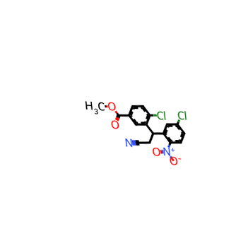 COC(=O)c1ccc(Cl)c(C(CC#N)c2cc(Cl)ccc2[N+](=O)[O-])c1